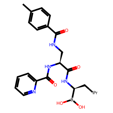 Cc1ccc(C(=O)NC[C@H](NC(=O)c2ccccn2)C(=O)N[C@@H](CC(C)C)B(O)O)cc1